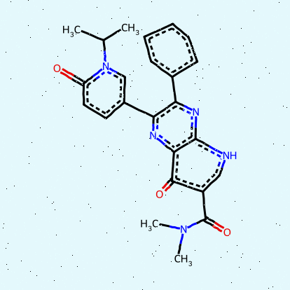 CC(C)n1cc(-c2nc3c(=O)c(C(=O)N(C)C)c[nH]c3nc2-c2ccccc2)ccc1=O